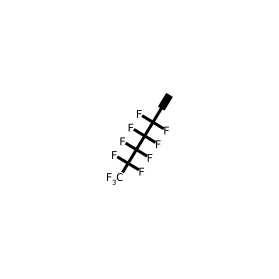 C#CC(F)(F)C(F)(F)C(F)(F)C(F)(F)C(F)(F)F